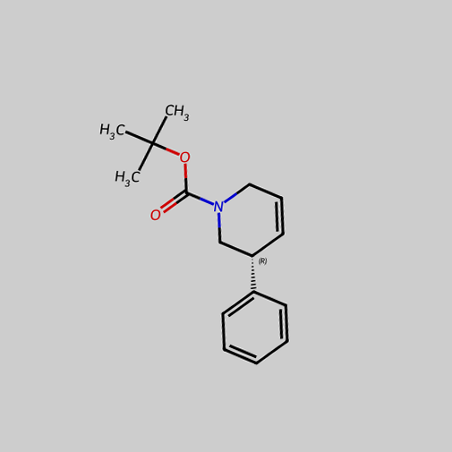 CC(C)(C)OC(=O)N1CC=C[C@H](c2ccccc2)C1